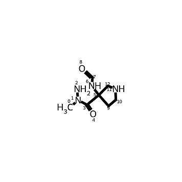 CN(N)C(=O)C1(NC=O)CCNC1